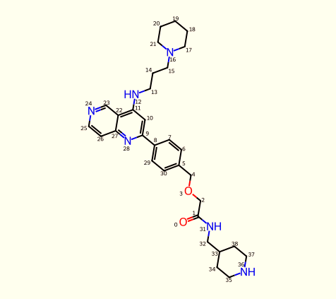 O=C(COCc1ccc(-c2cc(NCCCN3CCCCC3)c3cnccc3n2)cc1)NCC1CCNCC1